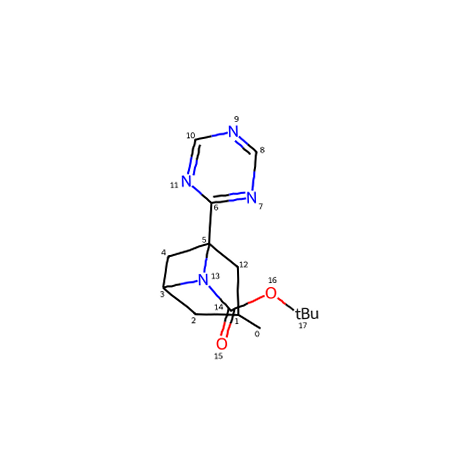 CC1CC2CC(c3ncncn3)(C1)N2C(=O)OC(C)(C)C